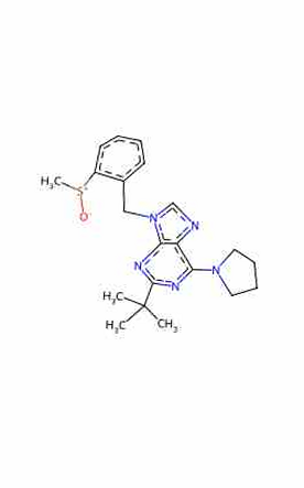 C[S+]([O-])c1ccccc1Cn1cnc2c(N3CCCC3)nc(C(C)(C)C)nc21